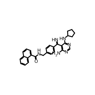 N=C(c1ccc(CNC(=O)c2cccc3ccccc23)cc1)c1c(N)ncnc1NC1CCCC1